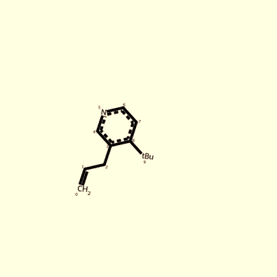 C=CCc1cnccc1C(C)(C)C